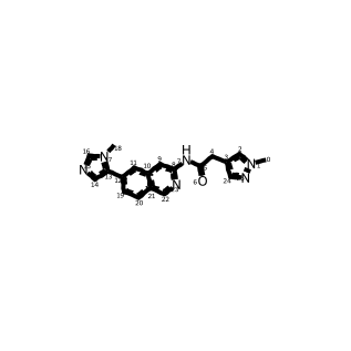 Cn1cc(CC(=O)Nc2cc3cc(-c4cncn4C)ccc3cn2)cn1